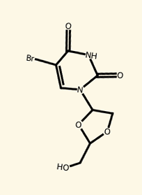 O=c1[nH]c(=O)n(C2COC(CO)O2)cc1Br